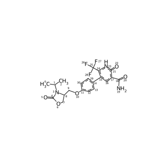 CC(C)N1C(=O)OCC1COc1ccc(-c2cc(C(N)=O)c(=O)[nH]c2C(F)(F)F)cc1